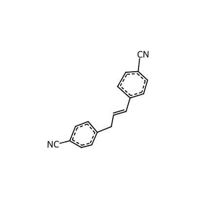 N#Cc1ccc(C=CCc2ccc(C#N)cc2)cc1